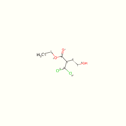 CCOC(=O)C(CCO)C(Cl)Cl